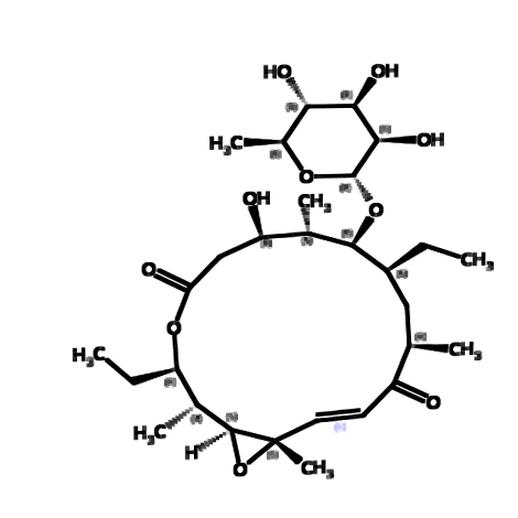 CC[C@H]1C[C@@H](C)C(=O)/C=C/[C@]2(C)O[C@H]2[C@H](C)[C@@H](CC)OC(=O)C[C@@H](O)[C@H](C)[C@H]1O[C@@H]1O[C@@H](C)[C@H](O)[C@@H](O)[C@H]1O